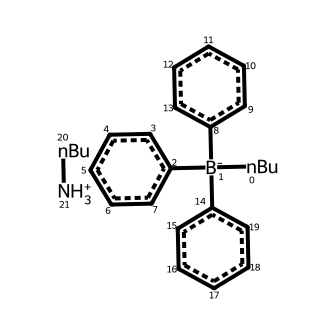 CCCC[B-](c1ccccc1)(c1ccccc1)c1ccccc1.CCCC[NH3+]